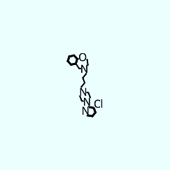 Clc1cccnc1N1CCN(CCCCN2CCOc3ccccc3C2)CC1